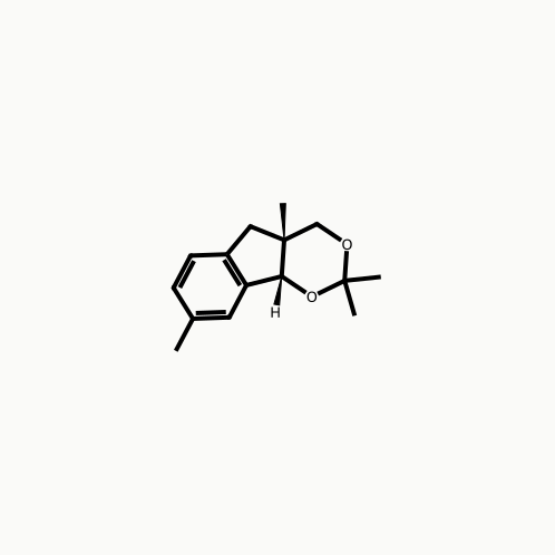 Cc1ccc2c(c1)[C@H]1OC(C)(C)OC[C@@]1(C)C2